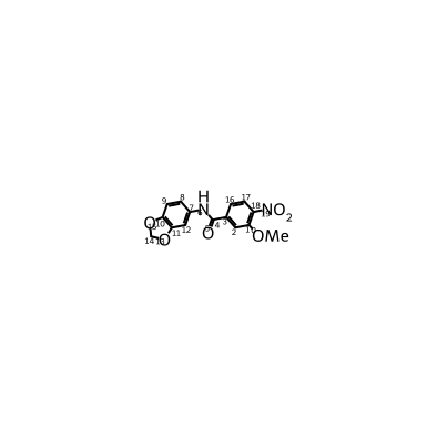 COc1cc(C(=O)Nc2ccc3c(c2)OCO3)ccc1[N+](=O)[O-]